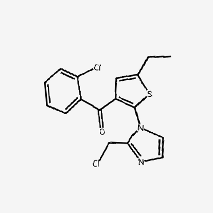 CCc1cc(C(=O)c2ccccc2Cl)c(-n2ccnc2CCl)s1